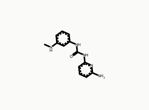 CNc1cccc(NC(=O)Nc2cccc(N)n2)c1